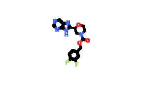 O=C(OCc1ccc(F)c(F)c1)N1CCO[C@H](c2nc3cncnc3[nH]2)C1